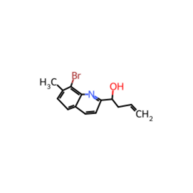 C=CCC(O)c1ccc2ccc(C)c(Br)c2n1